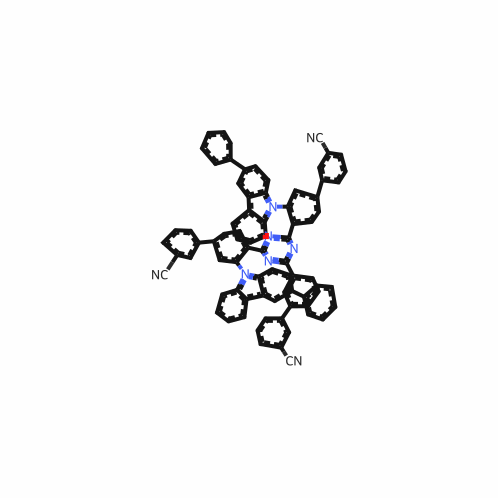 N#Cc1cccc(-c2cccc(-c3nc(-c4ccc(-c5cccc(C#N)c5)cc4-n4c5ccccc5c5cc(-c6ccccc6)ccc54)nc(-c4ccc(-c5cccc(C#N)c5)cc4-n4c5ccccc5c5cc(-c6ccccc6)ccc54)n3)c2)c1